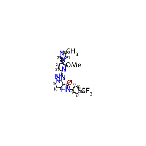 COc1nc(-c2nc3n(n2)CCCC3C(=O)Nc2ccc(C(F)(F)F)cc2)ccc1-n1cnc(C)c1